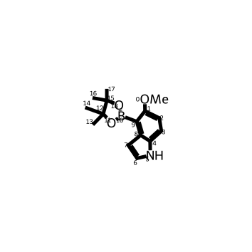 COc1ccc2[nH]ccc2c1B1OC(C)(C)C(C)(C)O1